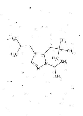 CC(C)CN1C=NN(C(C)C)C1CC(C)(C)C